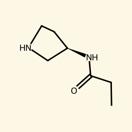 CCC(=O)N[C@@H]1CCNC1